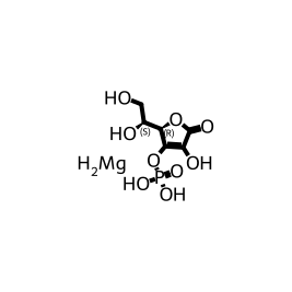 O=C1O[C@H]([C@@H](O)CO)C(OP(=O)(O)O)=C1O.[MgH2]